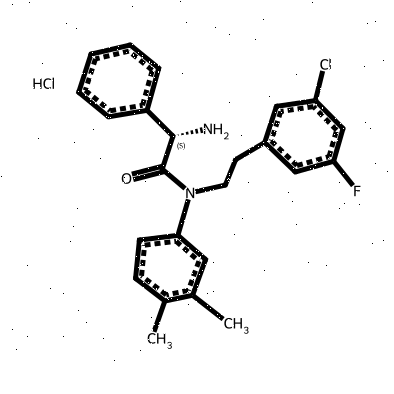 Cc1ccc(N(CCc2cc(F)cc(Cl)c2)C(=O)[C@@H](N)c2ccccc2)cc1C.Cl